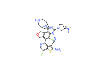 CN(C)[C@@H]1CCN(c2nc(N3C4CCC3CNC4)c3c4c(c(-c5ncc(F)c6sc(N)c(C#N)c56)c(F)c3n2)COC4)C1